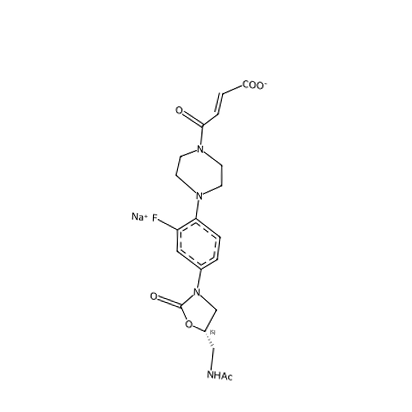 CC(=O)NC[C@H]1CN(c2ccc(N3CCN(C(=O)C=CC(=O)[O-])CC3)c(F)c2)C(=O)O1.[Na+]